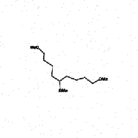 COCCCCC(CCCCOC)OC